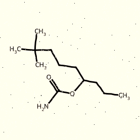 CCCC(CCCC(C)(C)C)OC(N)=O